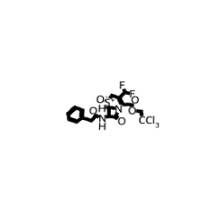 O=C(Cc1ccccc1)NC1C(=O)N2C(C(=O)OCC(Cl)(Cl)Cl)=C(C(F)F)C[S+]([O-])[C@@H]12